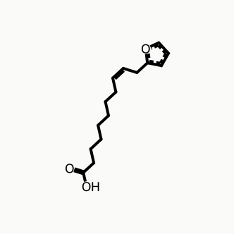 O=C(O)CCCCCCC/C=C\Cc1ccco1